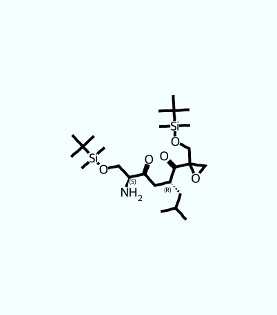 CC(C)C[C@H](CC(=O)[C@@H](N)CO[Si](C)(C)C(C)(C)C)C(=O)C1(CO[Si](C)(C)C(C)(C)C)CO1